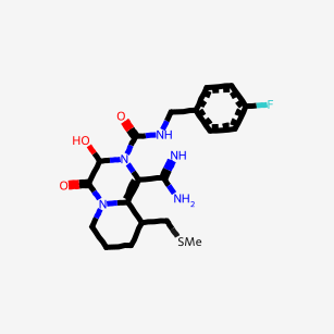 CSCC1CCCN2C(=O)C(O)N(C(=O)NCc3ccc(F)cc3)C(C(=N)N)=C12